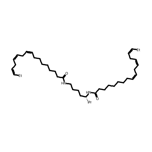 CC/C=C\C/C=C\C/C=C\CCCCCCCC(=O)NCCCC[C@H](NC(=O)CCCCCCC/C=C\C/C=C\C/C=C\CC)C(C)C